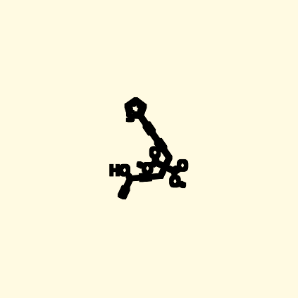 C#CC(O)C#CCC(CC#CC#Cc1cccs1)(C(=O)OC)C(=O)OC